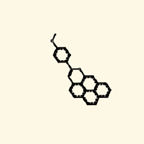 COc1ccc(C2=Cc3ccc4ccc5cccc6cc(c3c4c56)O2)cc1